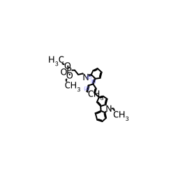 C\C=C/C(C=Cc1ccc2c(c1)c1ccccc1n2CC)=C1/C=CC=C/C1=N\CCCP(=O)(OCC)OCC